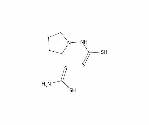 NC(=S)S.S=C(S)NN1CCCC1